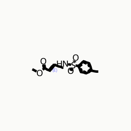 COC(=O)/C=C/CNS(=O)(=O)c1ccc(C)cc1